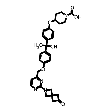 CC(C)(c1ccc(OCc2ccnc(N3CC4(CC(=O)C4)C3)n2)cc1)c1ccc(OC2CCN(C(=O)O)CC2)cc1